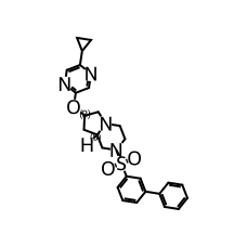 O=S(=O)(c1cccc(-c2ccccc2)c1)N1CCN2C[C@H](Oc3cnc(C4CC4)cn3)C[C@H]2C1